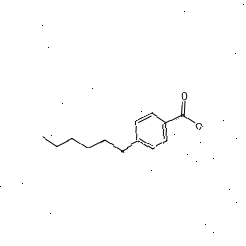 CCCCCCc1ccc(C([O])=O)cc1